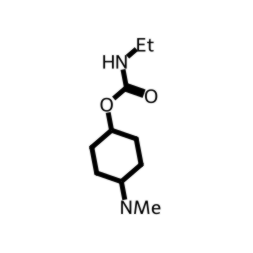 CCNC(=O)OC1CCC(NC)CC1